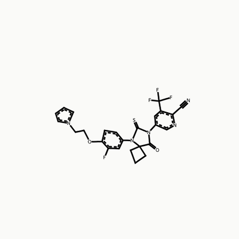 N#Cc1ncc(N2C(=O)C3(CCC3)N(c3ccc(OCCn4cccc4)c(F)c3)C2=S)cc1C(F)(F)F